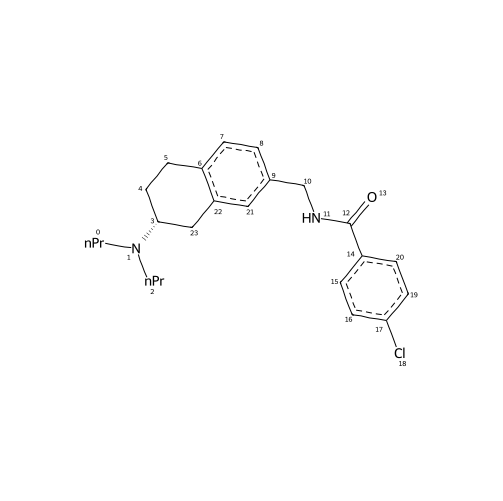 CCCN(CCC)[C@@H]1CCc2ccc(CNC(=O)c3ccc(Cl)cc3)cc2C1